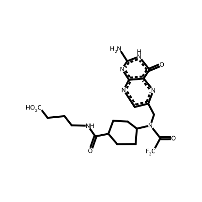 Nc1nc2ncc(CN(C(=O)C(F)(F)F)C3CCC(C(=O)NCCCC(=O)O)CC3)nc2c(=O)[nH]1